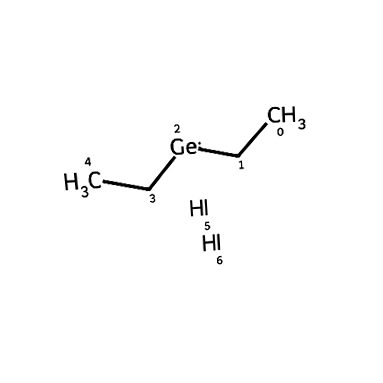 C[CH2][Ge][CH2]C.I.I